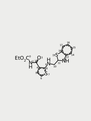 CCOC(=O)NC(=O)c1ccsc1NCC1Nc2ccccc2S1